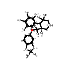 [2H]c1c([2H])c(C2C([2H])([2H])CNC[C@]2([2H])C([2H])([2H])Oc2ccc3c(c2)OC([2H])([2H])O3)c([2H])c([2H])c1F